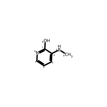 CBc1cccnc1O